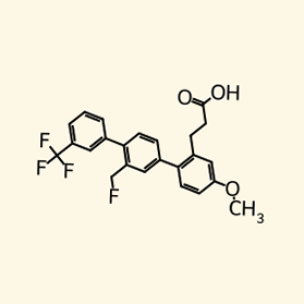 COc1ccc(-c2ccc(-c3cccc(C(F)(F)F)c3)c(CF)c2)c(CCC(=O)O)c1